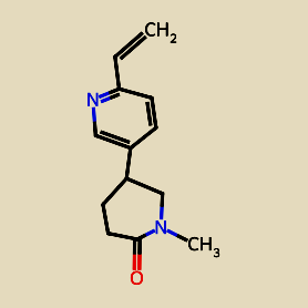 C=Cc1ccc(C2CCC(=O)N(C)C2)cn1